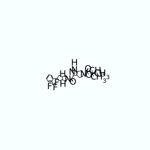 CC(C)(C)OC(=O)N1CCc2c(C(=O)N3C[C@H]4CC(c5ccccc5C(F)(F)F)C[C@H]4C3)n[nH]c2C1